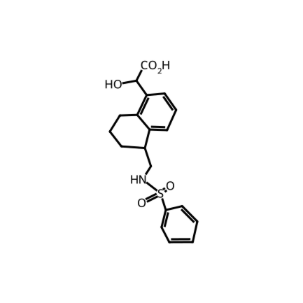 O=C(O)C(O)c1cccc2c1CCCC2CNS(=O)(=O)c1ccccc1